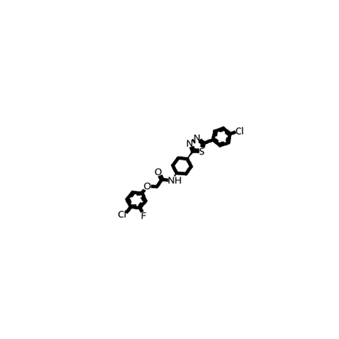 O=C(COc1ccc(Cl)c(F)c1)N[C@H]1CC[C@H](c2nnc(-c3ccc(Cl)cc3)s2)CC1